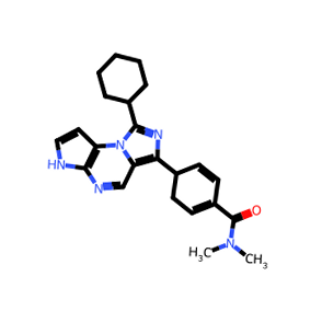 CN(C)C(=O)C1=CCC(c2nc(C3CCCCC3)n3c2cnc2[nH]ccc23)C=C1